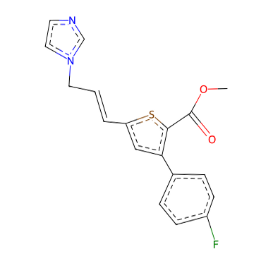 COC(=O)c1sc(/C=C/Cn2ccnc2)cc1-c1ccc(F)cc1